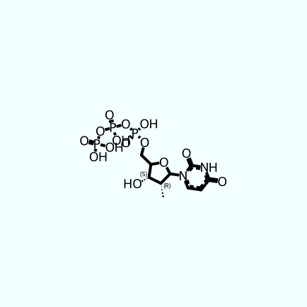 C[C@H]1C(n2ccc(=O)[nH]c2=O)OC(COP(=O)(O)OP(=O)(O)OP(=O)(O)O)[C@H]1O